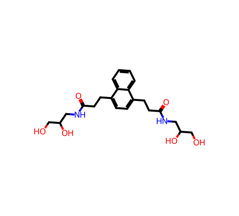 O=C(CCc1ccc(CCC(=O)NCC(O)CO)c2ccccc12)NCC(O)CO